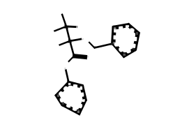 O=C(Oc1ccccc1)C(F)(OCc1ccccc1)C(F)(F)F